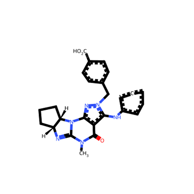 CN1C(=O)c2c(nn(Cc3ccc(C(=O)O)cc3)c2Nc2ccccc2)N2C1=N[C@@H]1CCC[C@@H]12